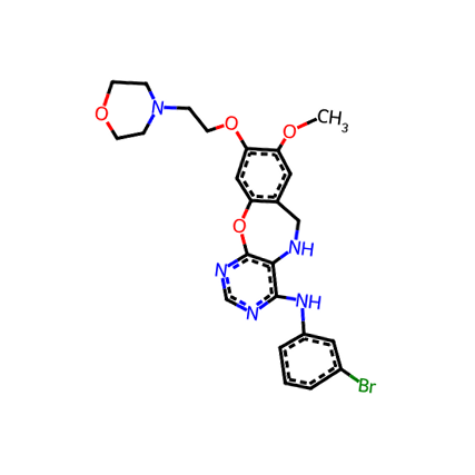 COc1cc2c(cc1OCCN1CCOCC1)Oc1ncnc(Nc3cccc(Br)c3)c1NC2